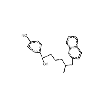 CC(CCCC(O)c1ccc(O)cc1)Cc1ccc2ccccc2c1